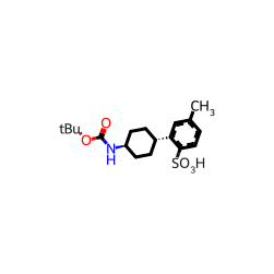 Cc1ccc(S(=O)(=O)O)c([C@H]2CC[C@H](NC(=O)OC(C)(C)C)CC2)c1